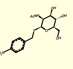 CC(=O)N[C@H]1[C@@H](O)[C@H](O)[C@@H](CO)O[C@H]1SCc1ccc(N)cc1